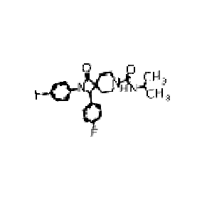 CC(C)NC(=O)N1CCC2(CC1)C(=O)N(c1ccc(F)cc1)C2c1ccc(F)cc1